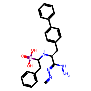 C=N/N=C(\NN)[C@H](Cc1ccc(-c2ccccc2)cc1)NC(Cc1ccccc1)P(=O)(O)O